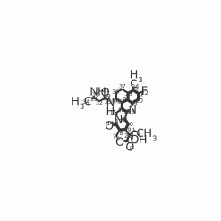 CC[C@@]1(O)C(=O)OCc2c1cc1n(c2=O)Cc2c-1nc1cc(F)c(C)c3c1c2[C@@H](NC(=O)CC(C)N)CC3